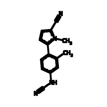 Cc1cc(NC#N)ccc1-c1ccc(C#N)n1C